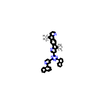 CC1(C)c2cc3c(cc2-c2ncccc21)C(C)(C)c1cc(-c2nc(-c4ccnc(-c5cccc6ccccc56)c4)nc(-c4cccc5ccccc45)n2)cnc1-3